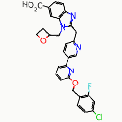 O=C(O)c1ccc2nc(Cc3ccc(-c4cccc(OCc5ccc(Cl)cc5F)n4)cn3)n(CC3CCO3)c2c1